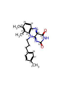 Cc1ccc(CCCn2c3nc(=O)[nH]c(=O)c-3nc3ccc(C)c(C)c32)cc1